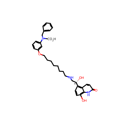 O=C(O)N(Cc1ccccc1)c1cccc(OCCCCCCCCNC[C@H](O)c2ccc(O)c3[nH]c(=O)ccc23)c1